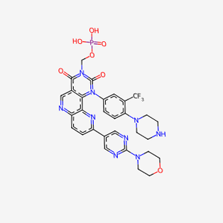 O=c1c2cnc3ccc(-c4cnc(N5CCOCC5)nc4)nc3c2n(-c2ccc(N3CCNCC3)c(C(F)(F)F)c2)c(=O)n1COP(=O)(O)O